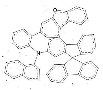 c1ccc(N(c2ccc3c(c2)C2(c4ccccc4-c4ccccc42)c2ccccc2-3)c2cccc3ccccc23)c(-c2ccc3c(c2)oc2ccccc23)c1